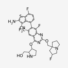 N#Cc1c(N)sc2c(F)ccc(-c3c(C(F)(F)F)cc4c(OC5CCNC5CO)nc(OCC56CCCN5CC(F)C6)nc4c3F)c12